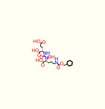 O=C(O)CC[C@H](NC(=O)N(O)[C@@H](CCCNC(=O)OCc1ccccc1)C(=O)O)C(=O)O